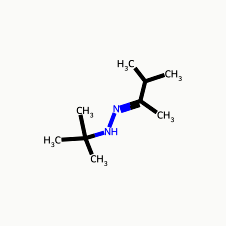 C/C(=N\NC(C)(C)C)C(C)C